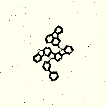 c1ccc(-c2cccc(-n3c4ccc5c6ccccc6n(-c6cc7c8c(cccc8c6)-c6ccccc6-7)c5c4c4ccc5oc6ccccc6c5c43)c2)cc1